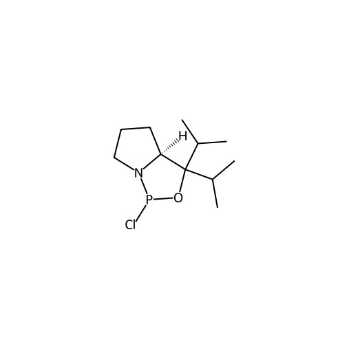 CC(C)C1(C(C)C)OP(Cl)N2CCC[C@H]21